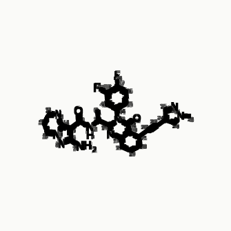 CC(NC(=O)c1c(N)nn2cccnc12)c1nc2cccc(C#Cc3cnn(C)c3)c2c(=O)n1-c1ccc(F)c(F)c1